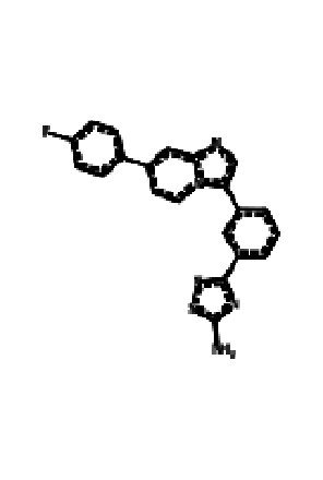 Nc1nc(-c2cccc(-c3cnc4cc(-c5ccc(F)cc5)ccn34)c2)ns1